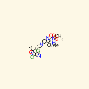 COc1cc(C(=O)NS(C)(=O)=O)nc2ccc(N3CCC4(C=C(c5c(-c6c(Cl)cncc6Cl)noc5C5CC5)C4)CC3)cc12